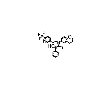 O=C([C@@H](O)c1ccccc1)N(CCc1ccc(C(F)(F)F)nc1)c1ccc2c(c1)CCCO2